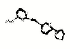 COc1ccnc(C#Cc2ccc(N3CCCC3)nc2)n1